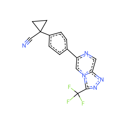 N#CC1(c2ccc(-c3cn4c(C(F)(F)F)nnc4cn3)cc2)CC1